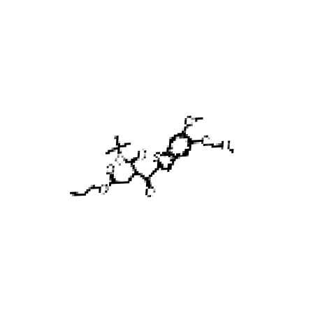 CCCOC(=O)CC(C(=O)OC(C)(C)C)C(=O)c1cc2cc(OCOC)c(OC)cc2s1